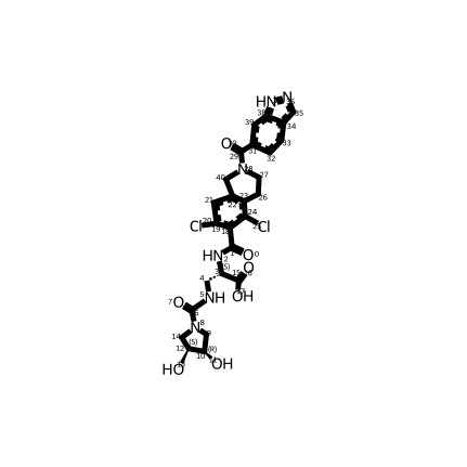 O=C(N[C@@H](CNC(=O)N1C[C@@H](O)[C@@H](O)C1)C(=O)O)c1c(Cl)cc2c(c1Cl)CCN(C(=O)c1ccc3cn[nH]c3c1)C2